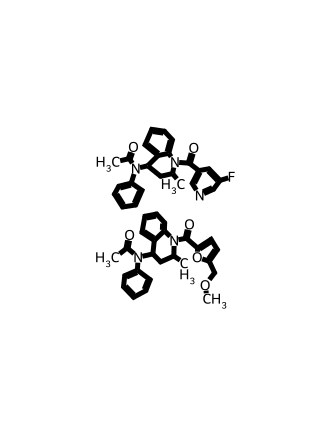 CC(=O)N(c1ccccc1)C1CC(C)N(C(=O)c2cncc(F)c2)c2ccccc21.COCc1ccc(C(=O)N2c3ccccc3C(N(C(C)=O)c3ccccc3)CC2C)o1